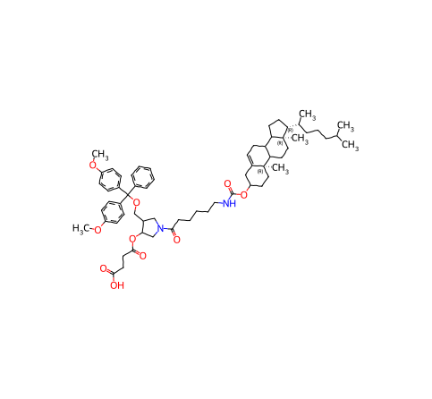 COc1ccc(C(OCC2CN(C(=O)CCCCCNC(=O)OC3CC[C@@]4(C)C(=CCC5C4CC[C@@]4(C)C5CC[C@@H]4C(C)CCCC(C)C)C3)CC2OC(=O)CCC(=O)O)(c2ccccc2)c2ccc(OC)cc2)cc1